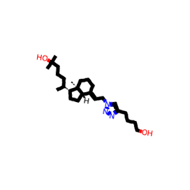 CC(CCCC(C)(C)O)[C@H]1CC[C@H]2/C(=C/Cn3cc(CCCCO)nn3)CCC[C@]12C